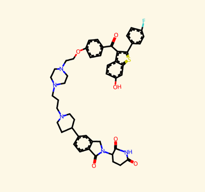 O=C1CCC(N2Cc3cc(C4CCN(CCCN5CCN(CCOc6ccc(C(=O)c7c(-c8ccc(F)cc8)sc8cc(O)ccc78)cc6)CC5)CC4)ccc3C2=O)C(=O)N1